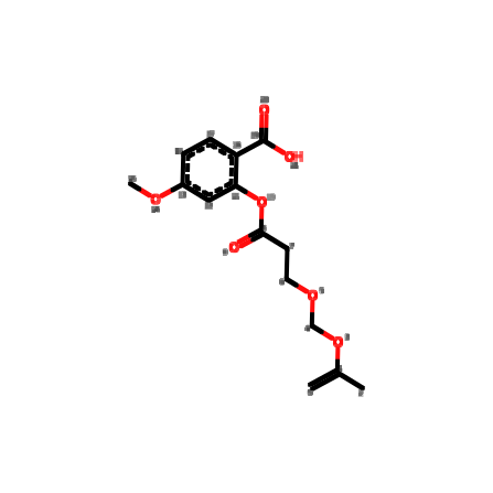 C=C(C)OCOCCC(=O)Oc1cc(OC)ccc1C(=O)O